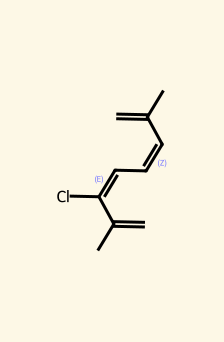 C=C(C)/C=C\C=C(\Cl)C(=C)C